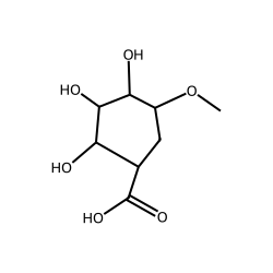 COC1CC(C(=O)O)C(O)C(O)C1O